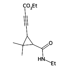 CCNC(=O)C1C(C#CC(=O)OCC)C1(C)C